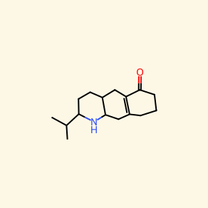 CC(C)C1CCC2CC3=C(CCCC3=O)CC2N1